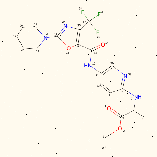 CCOC(=O)C(C)Nc1ccc(NC(=O)c2oc(N3CCCCC3)nc2C(F)(F)F)cn1